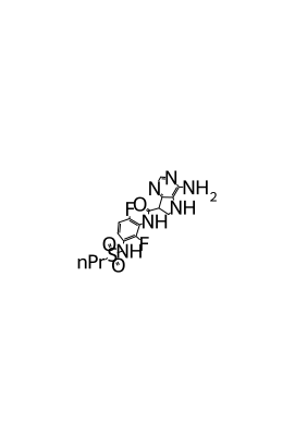 CCCS(=O)(=O)Nc1ccc(F)c(NC(=O)C2CNc3c(N)ncnc32)c1F